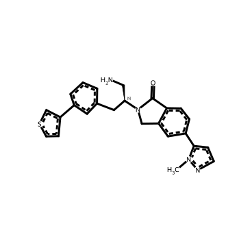 Cn1nccc1-c1ccc2c(c1)CN([C@H](CN)Cc1cccc(-c3ccsc3)c1)C2=O